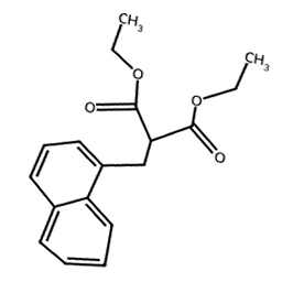 CCOC(=O)C(Cc1cccc2ccccc12)C(=O)OCC